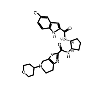 O=C(N[C@@H]1CCC[C@H]1NC(=O)c1nc2c(s1)CN(C1CCOCC1)CC2)c1cc2cc(Cl)ccc2[nH]1